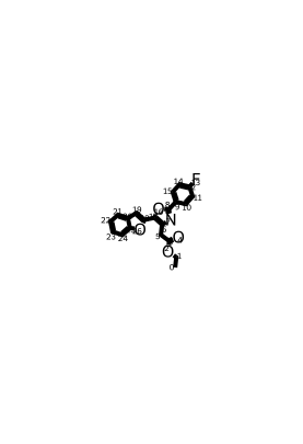 CCOC(=O)Cc1nc(-c2ccc(F)cc2)oc1-c1cc2ccccc2o1